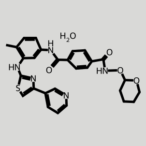 Cc1ccc(NC(=O)c2ccc(C(=O)NOC3CCCCO3)cc2)cc1Nc1nc(-c2cccnc2)cs1.O